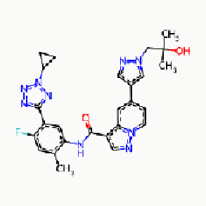 Cc1cc(F)c(-c2nnn(C3CC3)n2)cc1NC(=O)c1cnn2ccc(-c3cnn(CC(C)(C)O)c3)cc12